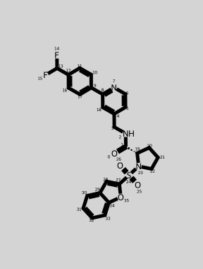 O=C(NCc1ccnc(-c2ccc(C(F)F)cc2)c1)[C@@H]1CCCN1S(=O)(=O)c1cc2ccccc2o1